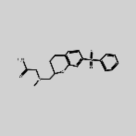 CN(CC(N)=O)CC1CCc2ccc(S(=O)(=O)c3ccccc3)cc2O1